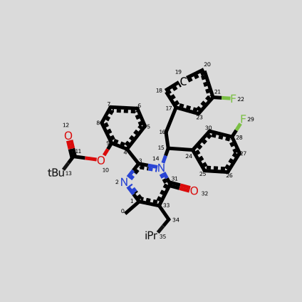 Cc1nc(-c2ccccc2OC(=O)C(C)(C)C)n(C(Cc2cccc(F)c2)c2cccc(F)c2)c(=O)c1CC(C)C